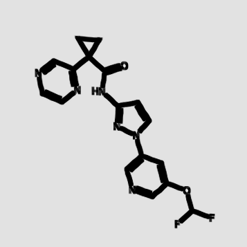 O=C(Nc1ccn(-c2cncc(OC(F)F)c2)n1)C1(c2cnccn2)CC1